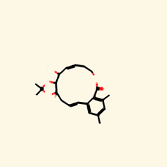 Cc1cc(C)c2c(c1)/C=C/C[C@@H]1OC(C)(C)OC1C(O)/C=C\C[C@H](C)OC2=O